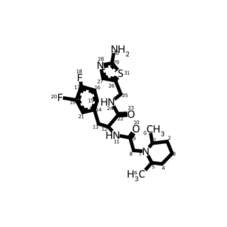 CC1CCCC(C)N1CC(=O)NC(Cc1ccc(F)c(F)c1)C(=O)NCc1cnc(N)s1